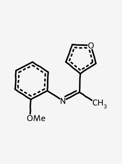 COc1ccccc1N=C(C)c1ccoc1